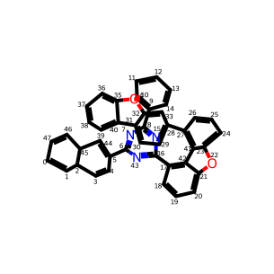 C1=CC2C=CC(c3nc(-c4ccccc4)nc(-c4cccc5oc6cccc(-c7ccc8c(c7)oc7ccccc78)c6c45)n3)=CC2C=C1